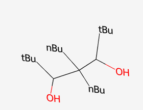 CCCCC(CCCC)(C(O)C(C)(C)C)C(O)C(C)(C)C